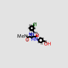 CNC(=O)c1cc(C(=O)NC2CCC(CO)CC2)n([C@@H](C)c2cccc(Cl)c2)n1